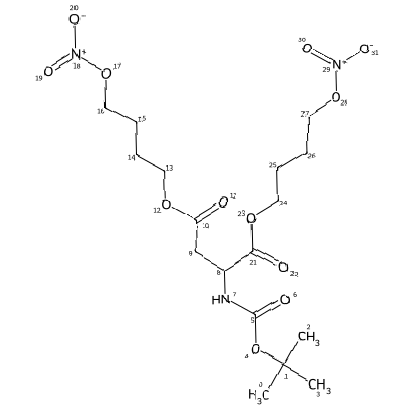 CC(C)(C)OC(=O)NC(CC(=O)OCCCCO[N+](=O)[O-])C(=O)OCCCCO[N+](=O)[O-]